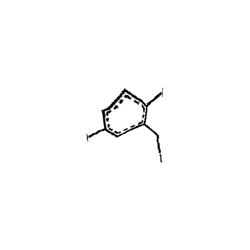 ICc1cc(I)ccc1I